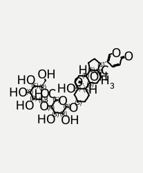 C[C@@H]1O[C@@H](O[C@H]2CC[C@]3(C=O)[C@H]4CC[C@]5(C)[C@@H](c6ccc(=O)oc6)CC[C@]5(O)[C@@H]4CC[C@]3(O)C2)[C@H](O)[C@H](O)[C@H]1O[C@@H]1O[C@H](CO)[C@@H](O)[C@H](O)[C@H]1O